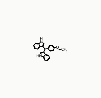 FC(F)(F)COc1ccc(C(c2c[nH]c3ccccc23)c2c[nH]c3ccccc23)cc1